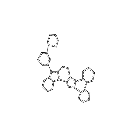 c1ccc(-c2cccc(-n3c4ccccc4c4c5cc6c7ccccc7c7ccccc7n6c5ccc43)n2)cc1